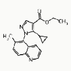 CCOC(=O)c1cnn(-c2c(C)ccc3ncccc23)c1C1CC1